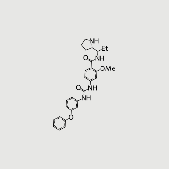 CCC(NC(=O)c1ccc(NC(=O)Nc2cccc(Oc3ccccc3)c2)cc1OC)C1CCCN1